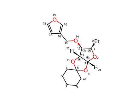 CC[C@H]1O[C@@H]2OC3(CCCCC3)O[C@@H]2[C@H]1OCc1ccoc1